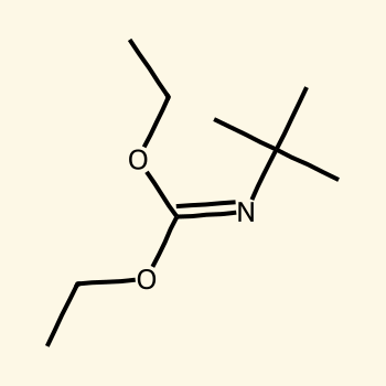 CCOC(=NC(C)(C)C)OCC